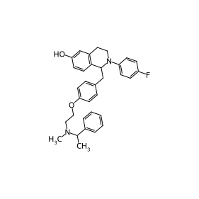 CC(c1ccccc1)N(C)CCOc1ccc(CC2c3ccc(O)cc3CCN2c2ccc(F)cc2)cc1